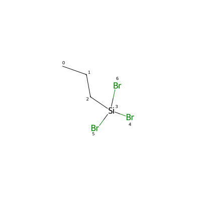 CCC[Si](Br)(Br)Br